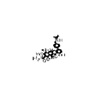 CC1=C2C(=O)c3c(O)ccc(-c4ccc(CNC(C)C)cc4)c3C[C@H]2C[C@H]2C(N(C)C)C(O)=C(C(N)=O)C(=O)[C@@]12O